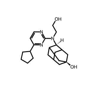 OCCN(c1nccc(C2CCCC2)n1)[C@H]1C2CC3CC1C[C@@](O)(C3)C2